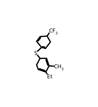 CCC1=CCC(SC2=CCC(C(F)(F)F)C=C2)C=C1C